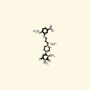 COc1ccc([N+](=O)[O-])cc1OCCCN1CCN(c2cc(=O)n(C)c(=O)n2C)CC1.Cl